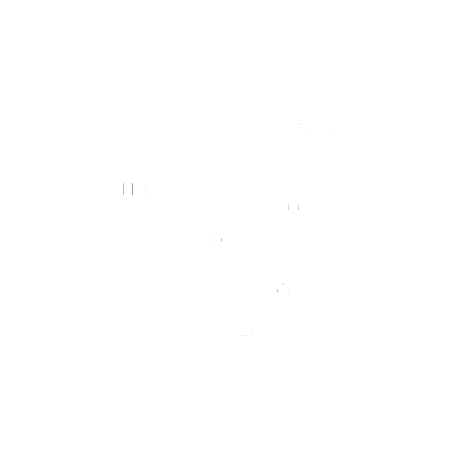 CCOC1OC(C)CC(C)O1